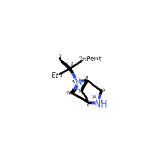 CCCCCC(C)(CC)N1CC2CC1CN2